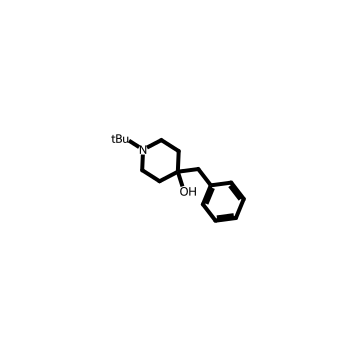 CC(C)(C)N1CCC(O)(Cc2ccccc2)CC1